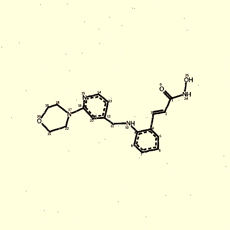 O=C(/C=C/c1ccccc1NCc1ccnc(N2CCOCC2)c1)NO